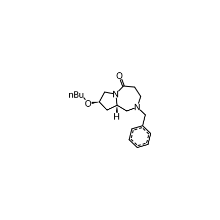 CCCCO[C@@H]1C[C@H]2CN(Cc3ccccc3)CCC(=O)N2C1